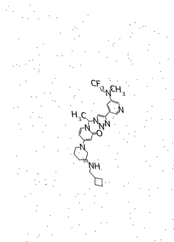 CC(n1cc(-c2cncc(N(C)CC(F)(F)F)c2)nn1)n1ccc(N2CCC[C@@H](NCC3CCC3)C2)cc1=O